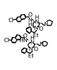 CCC(CN1CC[C@@H](CNC(=O)c2ccc3cc(Cl)ccc3c2)N[C@H](CCN2CCCCC2)C1=O)c1ccccc1.CCC(CN1CC[C@H](CNC(=O)c2ccc3cc(Cl)ccc3c2)N[C@@H](CCN2CCCCC2)C1=O)c1ccccc1